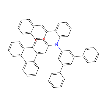 c1ccc(-c2cc(-c3ccccc3)cc(N(c3ccc4c5ccccc5c5ccccc5c4c3)c3ccccc3-c3ccc4ccccc4c3)c2)cc1